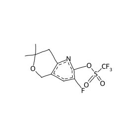 CC1(C)Cc2nc(OS(=O)(=O)C(F)(F)F)c(F)cc2CO1